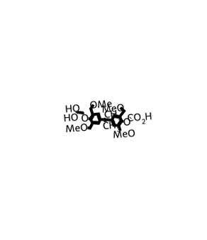 COCc1cc(C(C)(C)c2cc(COC)c(OC(=O)O)c(COC)c2)cc(COC)c1OCC(O)O